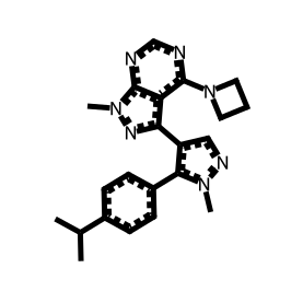 CC(C)c1ccc(-c2c(-c3nn(C)c4ncnc(N5CCC5)c34)cnn2C)cc1